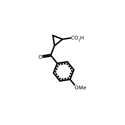 COc1ccc(C(=O)C2CC2C(=O)O)cc1